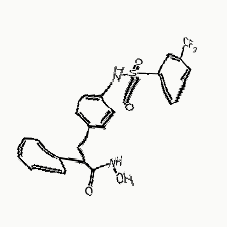 O=C(NO)C(c1ccccc1)c1ccc(NS(=O)(=O)c2cccc(C(F)(F)F)c2)cc1